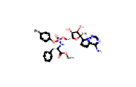 CCCCCCOC(=O)[C@H](Cc1ccccc1)NP(=O)(OC[C@H]1O[C@@](C#N)(c2ccc3c(N)ncnn23)[C@H](O)[C@@H]1O)Oc1ccc(C(C)(C)C)cc1